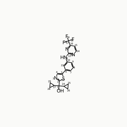 OC(c1ncc(-c2cccc(Nc3nccc(C(F)(F)F)n3)c2)s1)(C1CC1)C1CC1